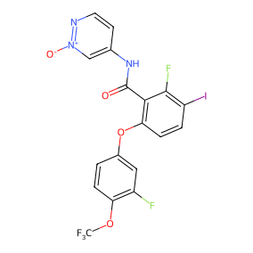 O=C(Nc1ccn[n+]([O-])c1)c1c(Oc2ccc(OC(F)(F)F)c(F)c2)ccc(I)c1F